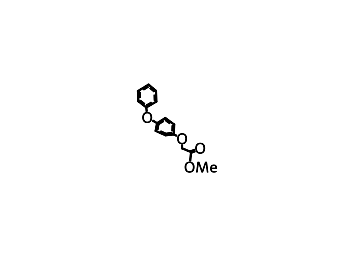 COC(=O)COc1ccc(Oc2ccccc2)cc1